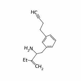 C#CCCc1cccc(CC(N)C(=C)CC)c1